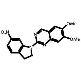 COc1cc2cnc(N3CCc4ccc([N+](=O)[O-])cc43)nc2cc1OC